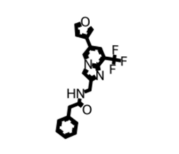 O=C(Cc1ccccc1)NCc1cn2cc(-c3ccoc3)cc(C(F)(F)F)c2n1